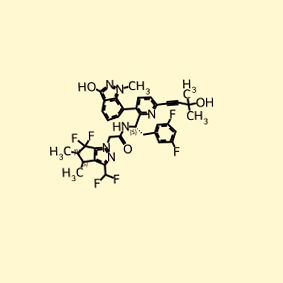 C[C@@H]1c2c(C(F)F)nn(CC(=O)N[C@@H](Cc3cc(F)cc(F)c3)c3nc(C#CC(C)(C)O)ccc3-c3cccc4c(O)nn(C)c34)c2C(F)(F)[C@@H]1C